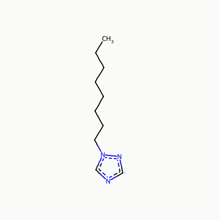 CCCCCCCCn1cn[c]n1